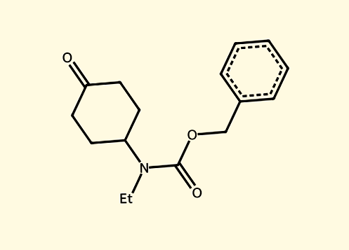 CCN(C(=O)OCc1ccccc1)C1CCC(=O)CC1